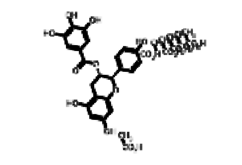 CC(=O)O.CC(=O)O.CC(=O)O.CC(=O)O.CC(=O)O.CC(=O)O.O=C(O[C@H]1Cc2c(O)cc(O)cc2O[C@@H]1c1ccc(O)cc1)c1cc(O)c(O)c(O)c1